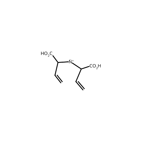 C=CC([N+]C(C=C)C(=O)O)C(=O)O